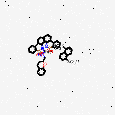 CCCC(NCC1CCc2ccccc2O1)[N+]1(N2c3ccccc3-c3ccccc3S2(=O)=O)c2ccccc2-c2ccccc2S1(=O)=O.O=S(=O)(O)c1cccc2c(S(=O)(=O)O)cccc12